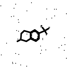 CN1CCc2cc(C(F)(F)F)ccc2C1